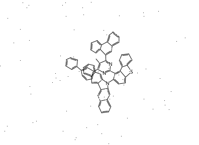 Cc1c(-c2cccc(-c3ccccc3)c2)nc(-c2c(-n3c4cc5ccccc5cc4c4cc5ccccc5cc43)ccc3sc4ccccc4c23)nc1-c1cc2ccccc2c2ccccc12